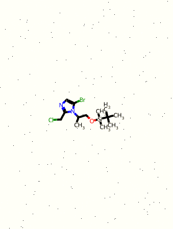 CC(CO[Si](C)(C)C(C)(C)C)n1c(Br)cnc1CCl